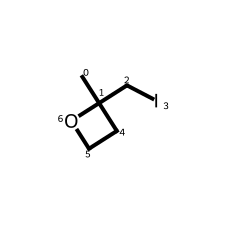 CC1(CI)CCO1